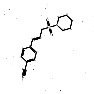 N#Cc1ccc(C=CCS(=O)(=O)N2CCCCC2)cc1